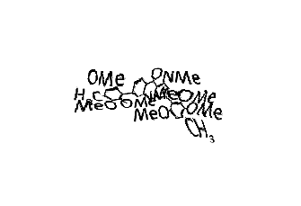 CNc1cc(-c2c(OC)cc(C)c(OC)c2OC)ccc1C(=O)c1ccc(-c2c(OC)cc(C)c(OC)c2OC)cc1NC